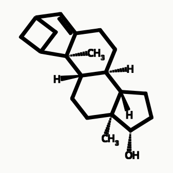 C[C@]12CC[C@H]3[C@@H](CCC4=CC5CC(C5)[C@@]43C)[C@@H]1CC[C@@H]2O